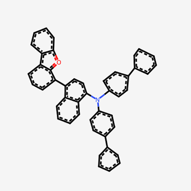 c1ccc(-c2ccc(N(c3ccc(-c4ccccc4)cc3)c3ccc(-c4cccc5c4oc4ccccc45)c4ccccc34)cc2)cc1